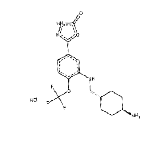 Cl.N[C@H]1CC[C@H](CNc2cc(-c3n[nH]c(=O)o3)ccc2OC(F)(F)F)CC1